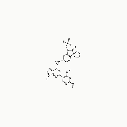 COc1ncc(-c2cc([C@H]3C[C@@H]3c3ccc4c(c3)N(CC(F)(F)F)C(=O)C43CCCC3)c3ncc(F)n3n2)c(OC)n1